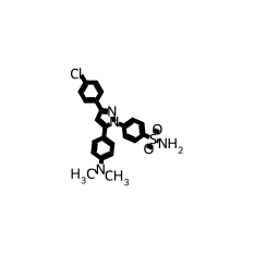 CN(C)c1ccc(-c2cc(-c3ccc(Cl)cc3)nn2-c2ccc(S(N)(=O)=O)cc2)cc1